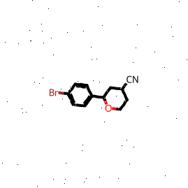 N#CC1CCOC(c2ccc(Br)cc2)C1